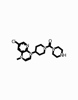 CN1C=CN(C2CCN(C(=O)N3CCNCC3)CC2)c2ncc(Cl)cc21